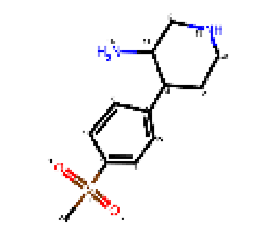 CS(=O)(=O)c1ccc(C2CCNCC2N)cc1